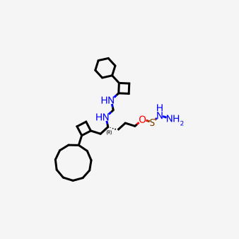 NNSOCCC[C@H](CC1CCC1C1CCCCCCCCCC1)NCNC1CCC1C1CCCCC1